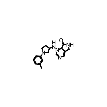 Cc1cccc(N2CCC(NN3C=NC=C4CNC(=O)C43)C2)c1